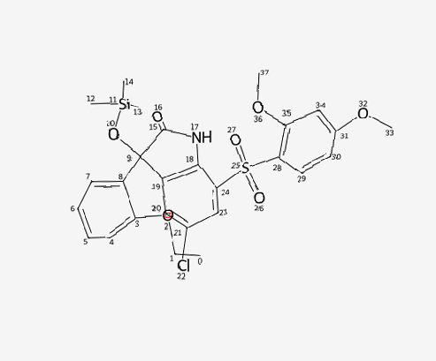 CCOc1ccccc1C1(O[Si](C)(C)C)C(=O)Nc2c1cc(Cl)cc2S(=O)(=O)c1ccc(OC)cc1OC